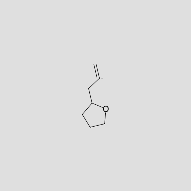 C=[C]CC1CCCO1